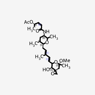 CO[C@]1(C)C[C@]2(CO2)[C@@H](O)C(/C=C/C(C)=C/C[C@@H]2OC(C)[C@H](NC(=O)/C=C\[C@H](C)OC(C)=O)C[C@@H]2C)O1